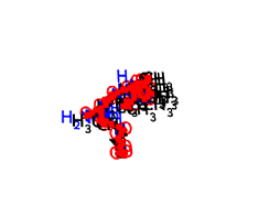 CC[C@H](C)[C@@H]([C@@H](CC(=O)N1C[C@@H](OC(=O)NCCNC(=O)OCc2ccc(NC(=O)[C@H](CCCNC(N)=O)NC(=O)[C@@H](NC(=O)CCCCCN3C(=O)CC(SCC4(CC(=O)ON5C(=O)CCC5=O)CC4)C3=O)C(C)C)cc2)C[C@H]1[C@H](OC)[C@@H](C)C(=O)NCC(=O)c1ccc(C)cc1C)OC)N(C)C(=O)[C@@H](NC(=O)[C@H](C(C)C)N(C)C)C(C)C